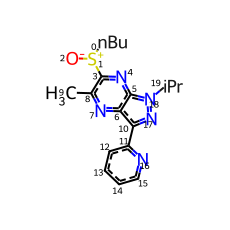 CCCC[S+]([O-])c1nc2c(nc1C)c(-c1ccccn1)nn2C(C)C